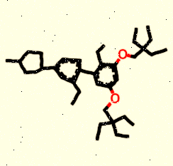 CCc1cc(C2CCC(C)CC2)ccc1-c1cc(OCC(CC)(CC)CC)cc(OCC(CC)(CC)CC)c1CC